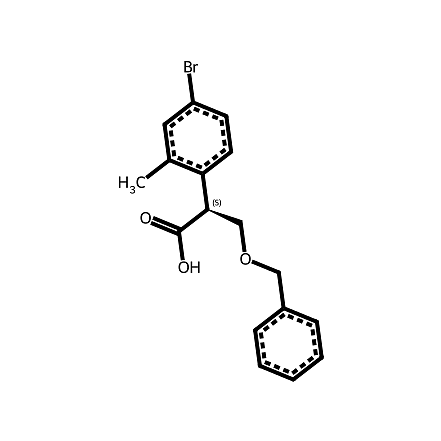 Cc1cc(Br)ccc1[C@@H](COCc1ccccc1)C(=O)O